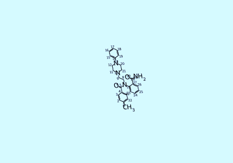 Cc1ccc(C(=O)N(CCN2CCN(c3ccccc3)CC2)c2ccccc2C(N)=O)cc1